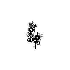 CN(C(=O)c1ccc(S(C)(=O)=O)cc1)C1COCc2[nH]c(=O)c3cc(F)c(F)cc3c21